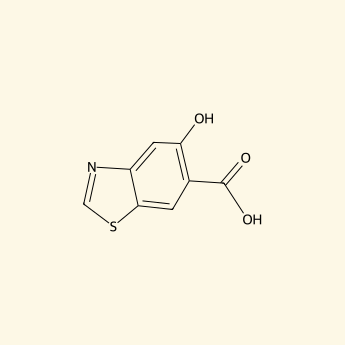 O=C(O)c1cc2scnc2cc1O